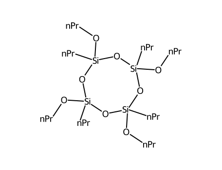 CCCO[Si]1(CCC)O[Si](CCC)(OCCC)O[Si](CCC)(OCCC)O[Si](CCC)(OCCC)O1